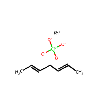 CC=CCC=CC.[O-][Cl+3]([O-])([O-])[O-].[Rh+]